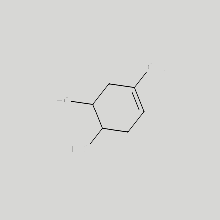 [CH]C1CC(C)=CCC1C